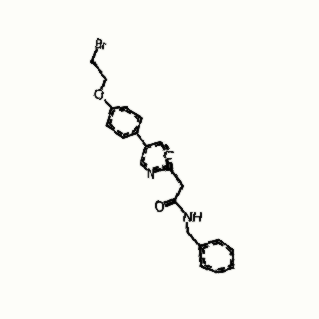 O=C(Cc1ccc(-c2ccc(OCCBr)cc2)cn1)NCc1ccccc1